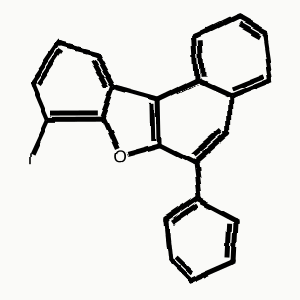 Ic1cccc2c1oc1c(-c3ccccc3)cc3ccccc3c12